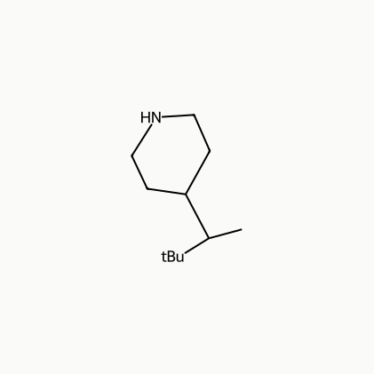 CC(C1CCNCC1)C(C)(C)C